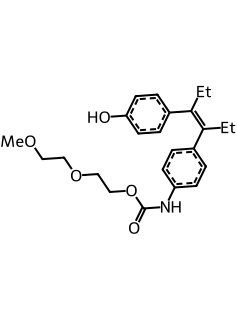 CCC(=C(CC)c1ccc(NC(=O)OCCOCCOC)cc1)c1ccc(O)cc1